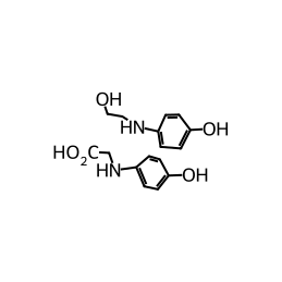 O=C(O)CNc1ccc(O)cc1.OCCNc1ccc(O)cc1